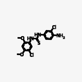 COc1cc(OC)c(NC(=S)Nc2ccc(N)c(Cl)c2)cc1Cl